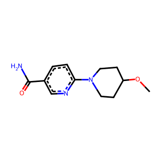 COC1CCN(c2ccc(C(N)=O)cn2)CC1